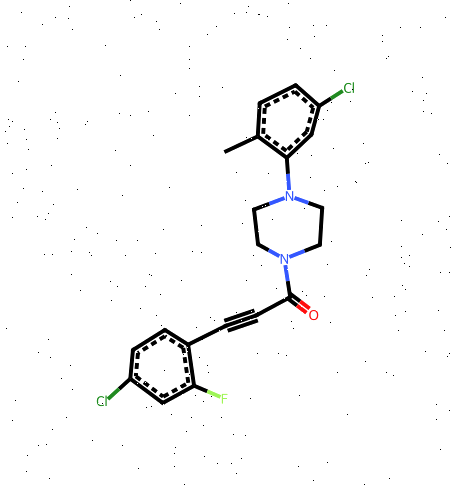 Cc1ccc(Cl)cc1N1CCN(C(=O)C#Cc2ccc(Cl)cc2F)CC1